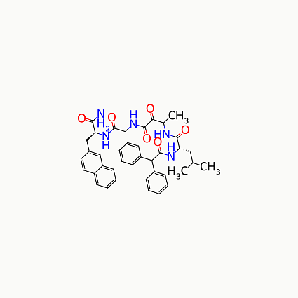 CC(C)C[C@H](NC(=O)C(c1ccccc1)c1ccccc1)C(=O)NC(C)C(=O)C(=O)NCC(=O)N[C@@H](Cc1ccc2ccccc2c1)C(N)=O